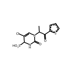 CC(C(=O)c1cccs1)N1C=C(Cl)C(S(=O)(=O)O)NC1=O